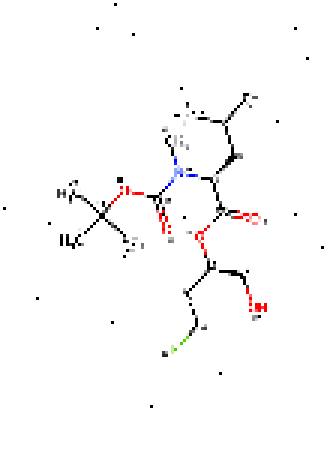 CC(C)C[C@@H](C(=O)O[C@@H](CO)CCF)N(C)C(=O)OC(C)(C)C